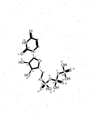 O=c1ccn([C@@H]2O[C@H](COP(O)(=S)OP(O)(=S)OP(O)(O)=S)[C@@H](O)[C@H]2O)c(=O)[nH]1